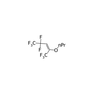 CCCOC(=CC(F)(F)C(F)(F)F)C(F)(F)F